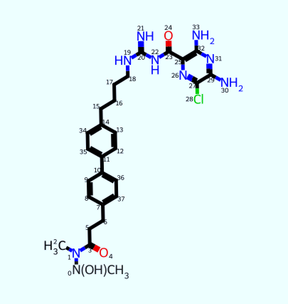 CN(O)N(C)C(=O)CCc1ccc(-c2ccc(CCCCNC(=N)NC(=O)c3nc(Cl)c(N)nc3N)cc2)cc1